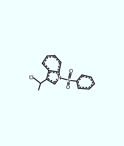 CC(Cl)c1cn(S(=O)(=O)c2ccccc2)c2ccccc12